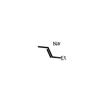 CC=CCC.[Na]